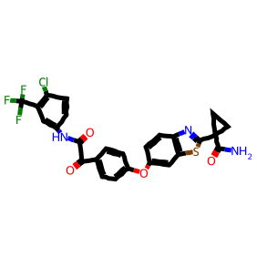 NC(=O)C1(c2nc3ccc(Oc4ccc(C(=O)C(=O)Nc5ccc(Cl)c(C(F)(F)F)c5)cc4)cc3s2)CC1